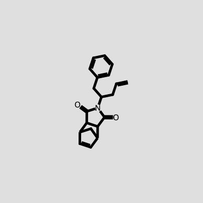 C=CCC(Cc1ccccc1)N1C(=O)C2C3C=CC(C3)C2C1=O